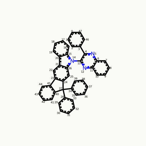 c1ccc(-c2nc3ccccc3nc2-n2c3ccccc3c3cc4c(cc32)C(c2ccccc2)(c2ccccc2)c2ccccc2-4)cc1